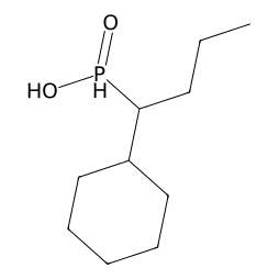 CCCC(C1CCCCC1)[PH](=O)O